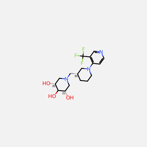 OC1[C@H](O)CN(C[C@H]2CCCN(c3ccncc3C(F)(F)F)C2)C[C@@H]1O